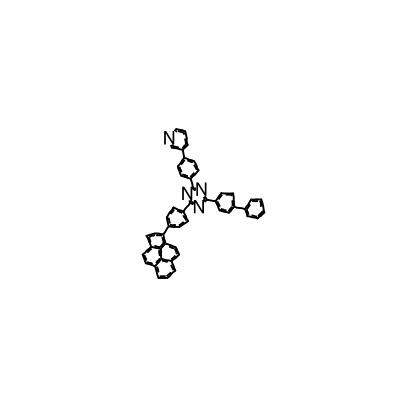 c1ccc(-c2ccc(-c3nc(-c4ccc(-c5cccnc5)cc4)nc(-c4ccc(-c5ccc6ccc7cccc8ccc5c6c78)cc4)n3)cc2)cc1